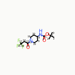 CC(C)(C)OC(=O)NC1CCN(C(=O)CC(F)(F)F)CC1